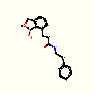 O=C(CCc1cccc2c1B(O)OC2)NCCc1ccccc1